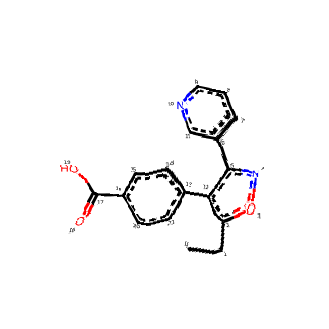 CCc1onc(-c2cccnc2)c1-c1ccc(C(=O)O)cc1